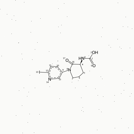 O=C(O)N[C@H]1CCCN(c2ccc(I)nc2)C1=O